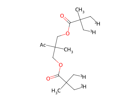 [3H]CC(C)(C[3H])C(=O)OCC(C)(COC(=O)C(C)(C[3H])C[3H])C(C)=O